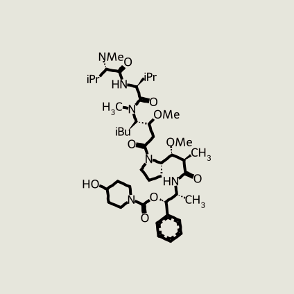 CC[C@H](C)[C@@H](C(CC(=O)N1CCC[C@H]1[C@H](OC)[C@@H](C)C(=O)N[C@H](C)[C@@H](OC(=O)N1CCC(O)CC1)c1ccccc1)OC)N(C)C(=O)[C@@H](NC(=O)[C@@H](NC)C(C)C)C(C)C